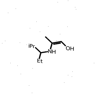 CCC(N/C(C)=C\O)C(C)C